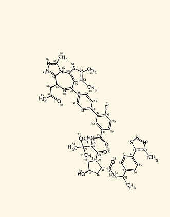 Cc1ncsc1-c1ccc(C(C)NC(=O)[C@@H]2C[C@@H](O)CN2C(=O)C(NC(=O)c2ccc(F)c(-c3ccc(C4=N[C@@H](CC(=O)O)c5nnc(C)n5-c5sc(C)c(C)c54)cc3)c2)C(C)(C)C)cc1